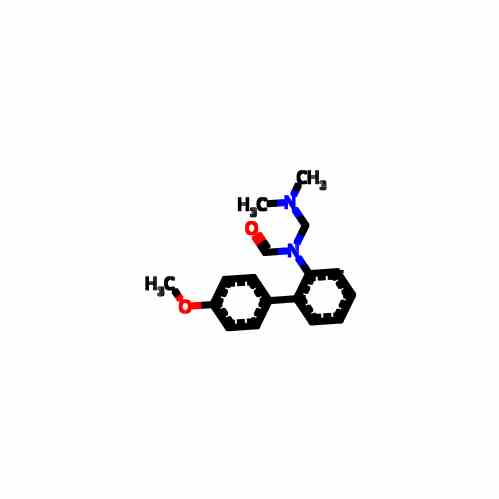 COc1ccc(-c2ccc[c]c2N(C=O)CN(C)C)cc1